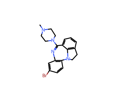 CN1CCN(C2=Nc3cc(Br)ccc3N3CCc4cccc2c43)CC1